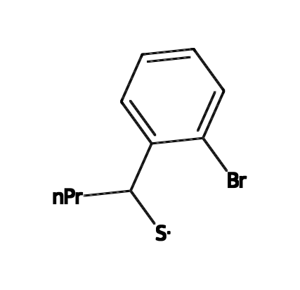 CCCC([S])c1ccccc1Br